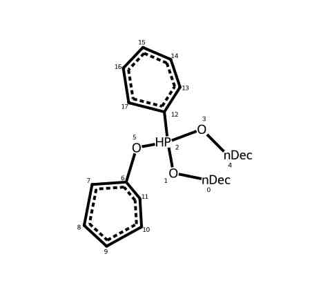 CCCCCCCCCCO[PH](OCCCCCCCCCC)(Oc1ccccc1)c1ccccc1